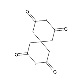 O=C1[CH]C(=O)CC2(C1)CC(=O)[CH]C(=O)C2